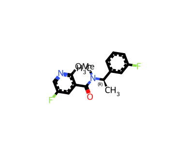 COc1ncc(F)cc1C(=O)N(C)[C@H](C)c1cccc(F)c1